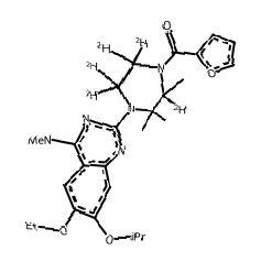 [2H]C1([2H])N(C(=O)c2ccco2)C([2H])(C)C(C)(C)N(c2nc(NC)c3cc(OCC)c(OC(C)C)cc3n2)C1([2H])[2H]